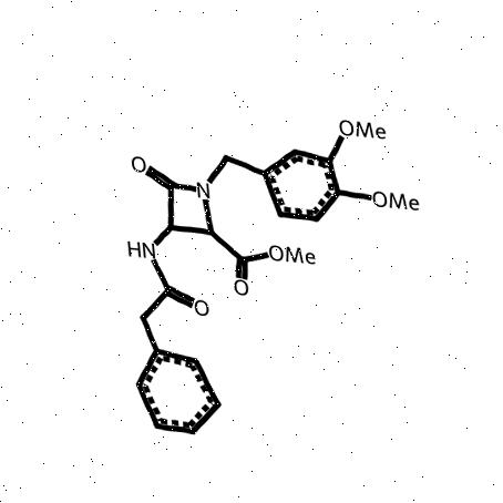 COC(=O)C1C(NC(=O)Cc2ccccc2)C(=O)N1Cc1ccc(OC)c(OC)c1